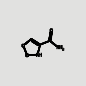 NC(=O)C1=COON1